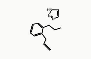 C=CCc1ccccc1CCC.c1c[nH]nn1